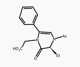 CC[C@H]1C(=O)N(CC(=O)O)C(c2ccccc2)=CN1C(C)=O